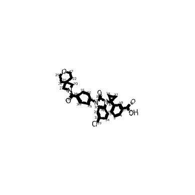 O=C(O)c1cccc(C2(n3c(=O)n(-c4ccc(C(=O)N5CC6(CCOCC6)C5)cc4)c4cc(Cl)ccc43)CC2)c1